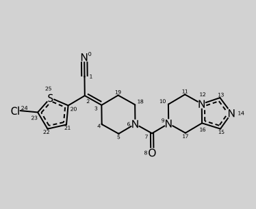 N#CC(=C1CCN(C(=O)N2CCn3cncc3C2)CC1)c1ccc(Cl)s1